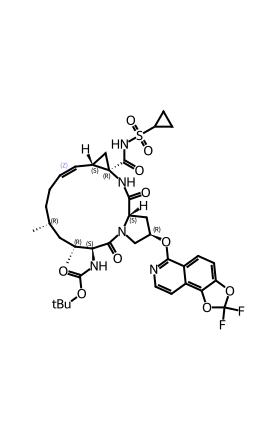 C[C@@H]1CC/C=C\[C@@H]2C[C@@]2(C(=O)NS(=O)(=O)C2CC2)NC(=O)[C@@H]2C[C@@H](Oc3nccc4c5c(ccc34)OC(F)(F)O5)CN2C(=O)[C@@H](NC(=O)OC(C)(C)C)[C@H](C)C1